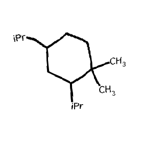 CC(C)C1CCC(C)(C)C(C(C)C)C1